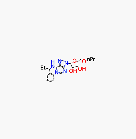 CCCOCC1OC(n2cnc3c(N[C@H](CC)c4ccccc4)ncnc32)C(O)C1O